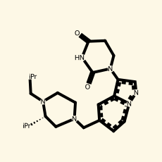 CC(C)CN1CCN(Cc2ccn3ncc(N4CCC(=O)NC4=O)c3c2)C[C@@H]1C(C)C